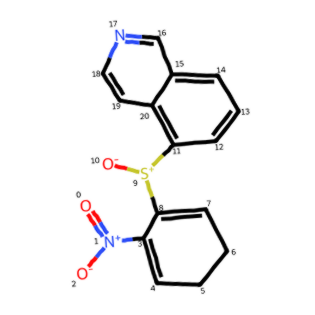 O=[N+]([O-])C1=CCCC=C1[S+]([O-])c1cccc2cnccc12